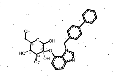 OC[C@H]1OC(O)[C@@](O)(Oc2cccc3ncn(Cc4ccc(-c5ccccc5)cc4)c23)[C@@H](O)[C@@H]1O